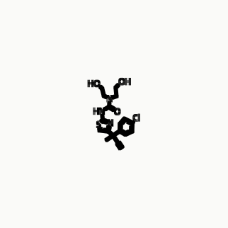 C#CC(C)(c1ccc(Cl)cc1)c1csc(NC(=O)N(CCO)CCO)n1